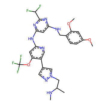 CNC(C)Cn1cc(-c2cnc(Nc3cc(NCc4ccc(OC)cc4OC)nc(C(F)F)n3)cc2OC(F)(F)F)cn1